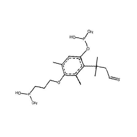 Cc1cc(OP(O)O)c(C(C)(C)CC=S)c(C)c1OCCCP(O)O